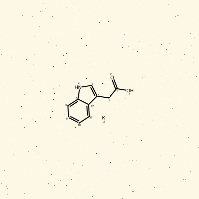 O=C(O)Cc1c[nH]c2ccccc12.[K]